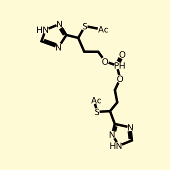 CC(=O)SC(CCO[PH](=O)OCCC(SC(C)=O)c1nc[nH]n1)c1nc[nH]n1